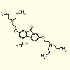 C=CCN(CC=C)CCOc1ccc2c(c1)C(=O)c1cc(OCCN(CC=C)CC=C)ccc1-2.Cl.Cl